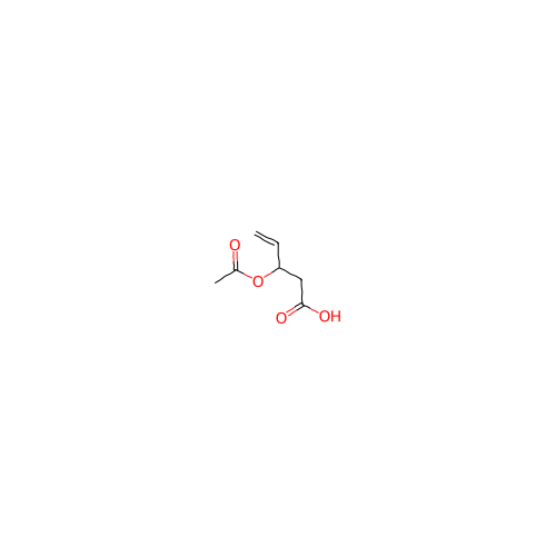 C=CC(CC(=O)O)OC(C)=O